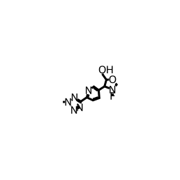 Cn1nnc(-c2ccc(C3C(CO)OCN3F)cn2)n1